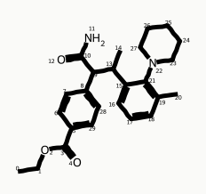 CCOC(=O)c1ccc(C(C(N)=O)C(C)c2cccc(C)c2N2CCCCC2)cc1